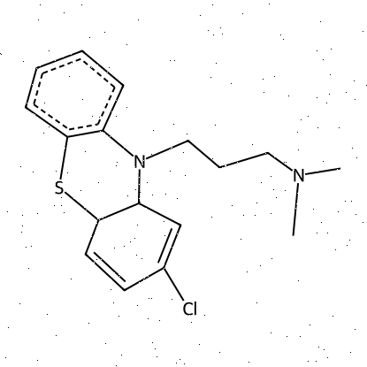 CN(C)CCCN1c2ccccc2SC2C=CC(Cl)=CC21